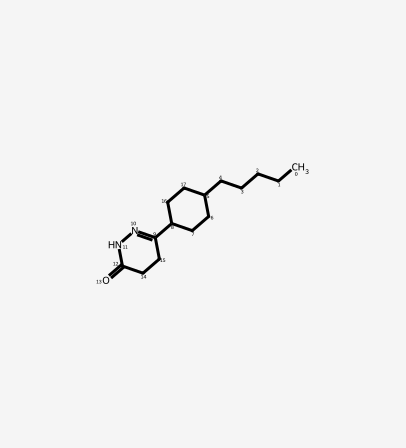 CCCCCC1CCC(C2=NNC(=O)CC2)CC1